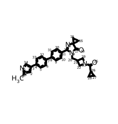 Cn1cc(-c2ccc(-c3ccc(C4=NC5(CC5)C(=O)N4CC4CN(C(=O)C5CC5)C4)cc3)cc2)cn1